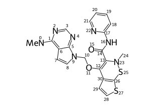 CNc1ncnc2c1ccn2COC1=C(C(=O)Nc2ccccn2)N(C)Sc2sccc21